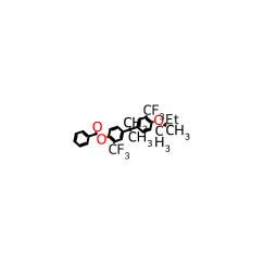 CCC(C)(C)Oc1ccc(C(C)(C)c2ccc(OC(=O)c3ccccc3)c(C(F)(F)F)c2)cc1C(F)(F)F